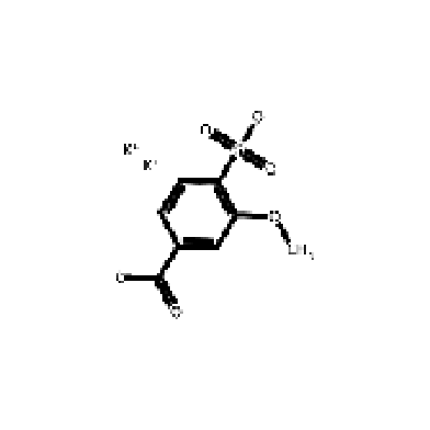 COc1cc(C(=O)[O-])ccc1S(=O)(=O)[O-].[K+].[K+]